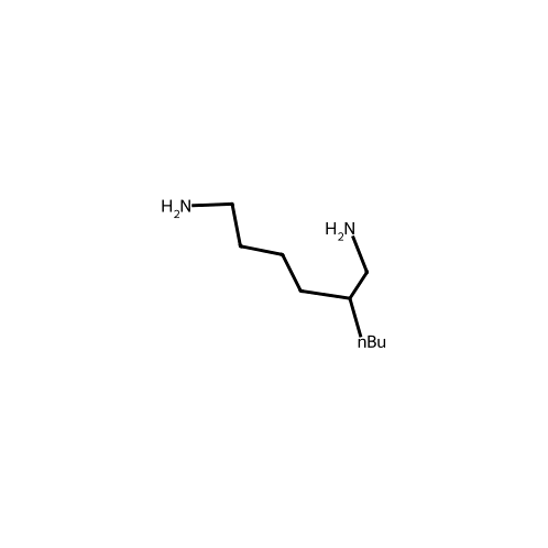 CCCCC(CN)CCCCN